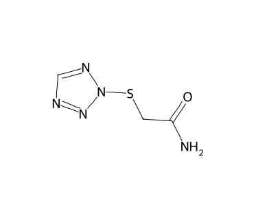 NC(=O)CSn1ncnn1